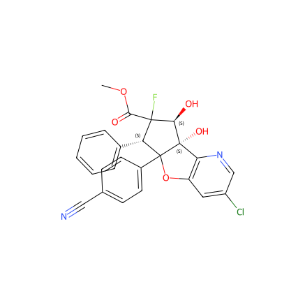 COC(=O)C1(F)[C@@H](c2ccccc2)C2(c3ccc(C#N)cc3)Oc3cc(Cl)cnc3[C@]2(O)[C@@H]1O